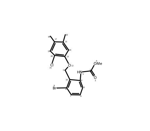 COC(=O)Nc1cccc(Br)c1COc1cc(C)c(C)cc1Cl